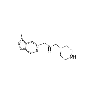 Cn1ccc2ccc(CNCC3CCNCC3)cc21